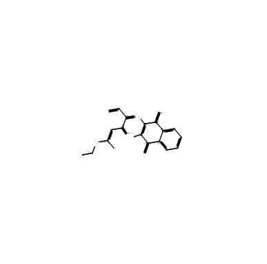 C=C/C(=N/c1c(C)c(=C)c2ccccc2c1=C)C(=C)/C=C(\C)NCC